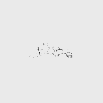 O=S(=O)(C1CCCCC1)N1CCCC(Cn2ccc3cc(-c4cn[nH]n4)ccc32)CC1